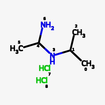 CC(C)NC(C)N.Cl.Cl